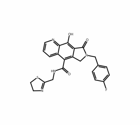 O=C(NCC1=NCCS1)c1c2c(c(O)c3ncccc13)C(=O)N(Cc1ccc(F)cc1)C2